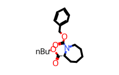 CCCCOC(=O)[C@H]1CCCCCN1C(=O)OCc1ccccc1